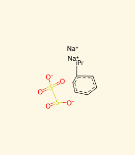 CC(C)c1ccccc1.O=S([O-])S(=O)(=O)[O-].[Na+].[Na+]